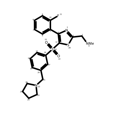 CNCc1nc(-c2ccccc2F)c(S(=O)(=O)c2cccc(CN3CCCC3)c2)s1